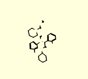 Cc1ccccc1[C@@H](C(=O)NC1CCCCC1)N(C(=O)[C@H]1CCCCN1C(=O)OC(C)(C)C)c1cccc(F)c1